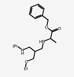 CCOCC(CNC(C)C)CNC(C)C(=O)OCc1ccccc1